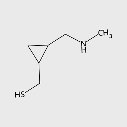 CNCC1CC1CS